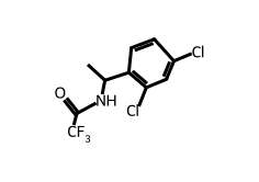 CC(NC(=O)C(F)(F)F)c1ccc(Cl)cc1Cl